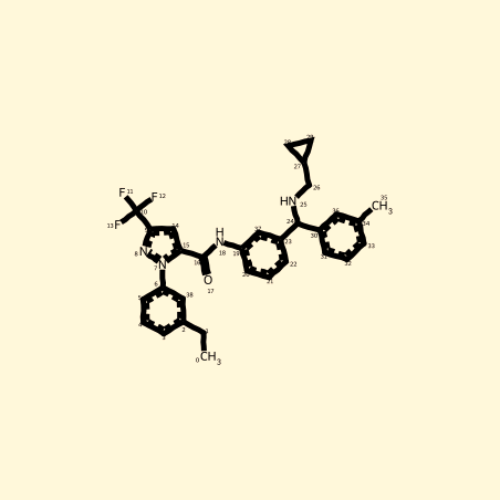 CCc1cccc(-n2nc(C(F)(F)F)cc2C(=O)Nc2cccc(C(NCC3CC3)c3cccc(C)c3)c2)c1